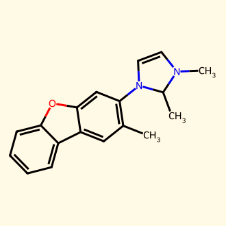 Cc1cc2c(cc1N1C=CN(C)C1C)oc1ccccc12